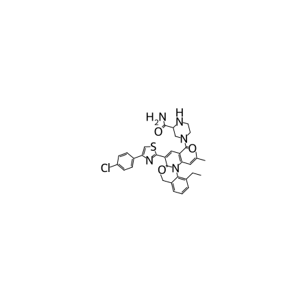 CCc1cccc(CC)c1-n1c(C=C(C)C)c(C(=O)N2CCNC(C(N)=O)C2)cc(-c2nc(-c3ccc(Cl)cc3)cs2)c1=O